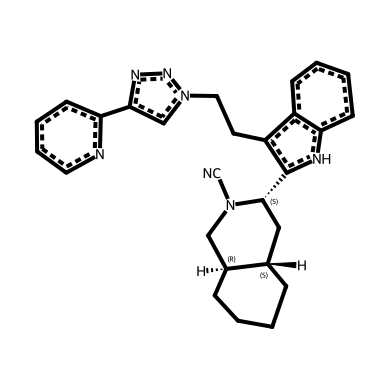 N#CN1C[C@@H]2CCCC[C@H]2C[C@H]1c1[nH]c2ccccc2c1CCn1cc(-c2ccccn2)nn1